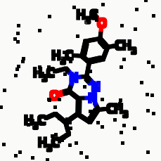 CCC(CC)c1cc(C)n2nc(-c3cc(C)c(OC)cc3C)n(CC)c(=O)c12